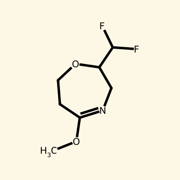 COC1=NCC(C(F)F)OCC1